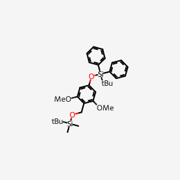 COc1cc(O[Si](c2ccccc2)(c2ccccc2)C(C)(C)C)cc(OC)c1CO[Si](C)(C)C(C)(C)C